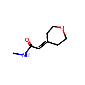 CNC(=O)C=C1CCOCC1